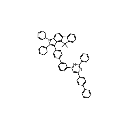 CC1(C)c2ccccc2-c2ccc3c(c(-c4ccc(-c5cccc(-c6cc(-c7ccc(-c8ccccc8)cc7)nc(-c7ccccc7)n6)c5)cc4)c(C4=CC=CCC4)n3-c3ccccc3)c21